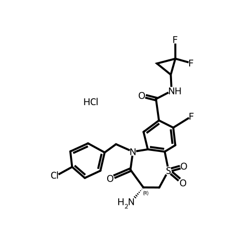 Cl.N[C@H]1CS(=O)(=O)c2cc(F)c(C(=O)NC3CC3(F)F)cc2N(Cc2ccc(Cl)cc2)C1=O